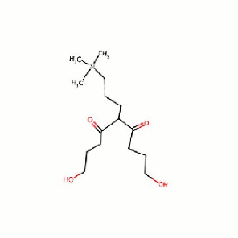 C[Si](C)(C)CCCC(C(=O)CCCO)C(=O)CCCO